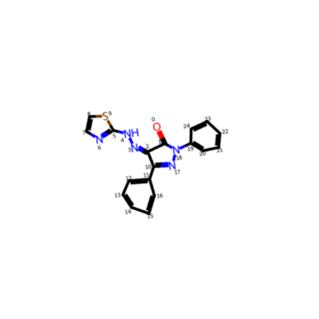 O=C1/C(=N\Nc2nccs2)C(c2ccccc2)=NN1c1ccccc1